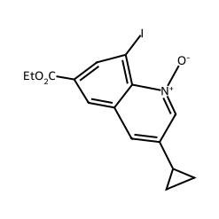 CCOC(=O)c1cc(I)c2c(c1)cc(C1CC1)c[n+]2[O-]